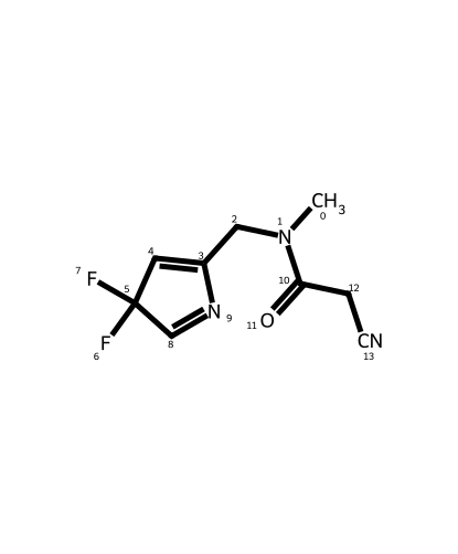 CN(CC1=CC(F)(F)C=N1)C(=O)CC#N